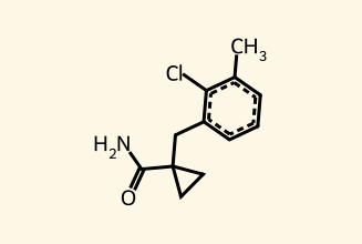 Cc1cccc(CC2(C(N)=O)CC2)c1Cl